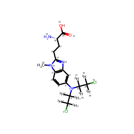 [2H]C([2H])(Cl)C([2H])([2H])N(c1ccc2c(c1)nc(CC[C@H](N)C(=O)O)n2C)C([2H])([2H])C([2H])([2H])Cl